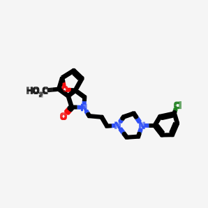 O=C(O)C1C2C=CC3(CN(CCCN4CCN(c5cccc(Cl)c5)CC4)C(=O)C13)O2